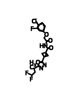 CC(CC(F)F)c1nnc(C23CC(C(=O)NC(=O)COc4ccc(Cl)c(F)c4)(C2)C3)o1